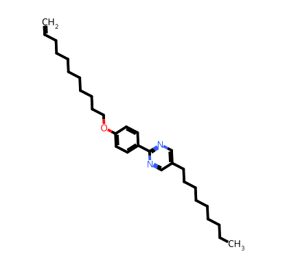 C=CCCCCCCCCCOc1ccc(-c2ncc(CCCCCCCCC)cn2)cc1